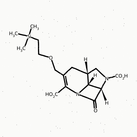 C[Si](C)(C)CCOCC1=C(C(=O)O)N2C(=O)[C@@H]3[C@H]2[C@H](C1)CN3C(=O)O